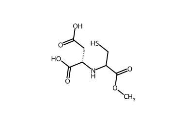 COC(=O)C(CS)N[C@@H](CC(=O)O)C(=O)O